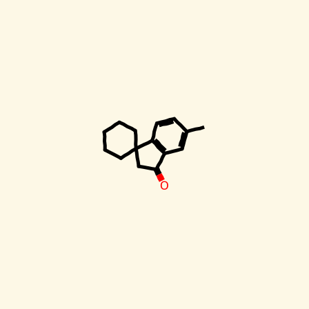 Cc1ccc2c(c1)C(=O)CC21CCCCC1